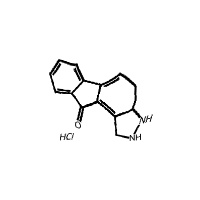 Cl.O=C1C2=C3CNNC3CC=C2c2ccccc21